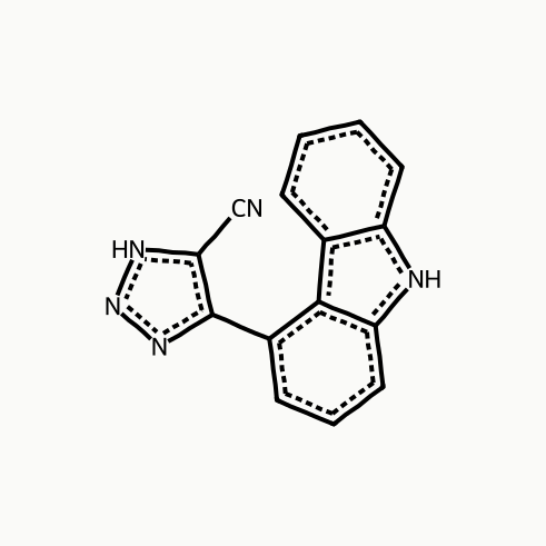 N#Cc1[nH]nnc1-c1cccc2[nH]c3ccccc3c12